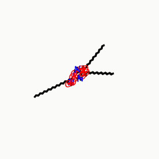 CCCCCCCCCCCCCCCCC(CC(C)(OP(=O)(OC(C)(CC(CCCCCCCCCCCCCCCC)OC(C)=O)N(C)C)OC(C)(CC(CCCCCCCCCCCCCCCC)OC(C)=O)N(C)C)N(C)C)OC(C)=O